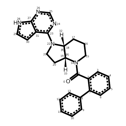 O=C(c1ccccc1-c1ccccc1)N1CCC[C@@H]2[C@H]1CCN2c1ncnc2[nH]ccc12